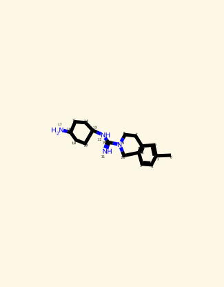 Cc1ccc2c(c1)CCN(C(=N)NC1CCC(N)CC1)C2